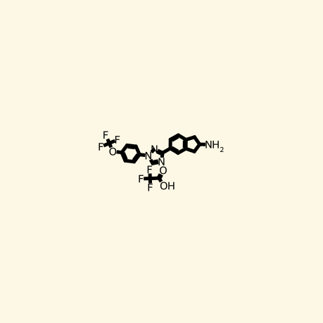 NC1Cc2ccc(-c3ncn(-c4ccc(OC(F)(F)F)cc4)n3)cc2C1.O=C(O)C(F)(F)F